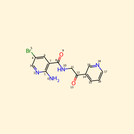 Nc1ncc(Br)cc1C(=O)NCC(=O)c1cccnc1